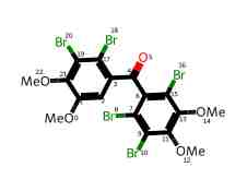 COc1cc(C(=O)c2c(Br)c(Br)c(OC)c(OC)c2Br)c(Br)c(Br)c1OC